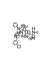 CCC[C@H](NC(=O)[C@@H]1C[C@]2(CC(c3cccc(Cl)c3)=NO2)CN1C(=O)[C@@H](Nc1ccccc1)C(C)(C)C)C(=O)C(=O)NC1CC1